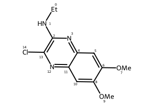 CCNc1nc2cc(OC)c(OC)cc2nc1Cl